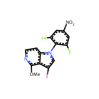 COc1nccc2c1c(I)cn2-c1c(F)cc([N+](=O)[O-])cc1F